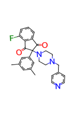 Cc1cc(C)cc(C2(N3CCN(Cc4ccncc4)CC3)C(=O)c3cccc(F)c3C2=O)c1